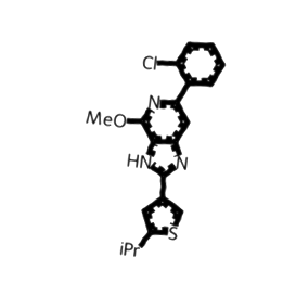 COc1nc(-c2ccccc2Cl)cc2nc(-c3csc(C(C)C)c3)[nH]c12